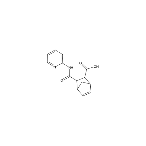 O=C(O)C1C2C=CC(C2)C1C(=O)Nc1ccccn1